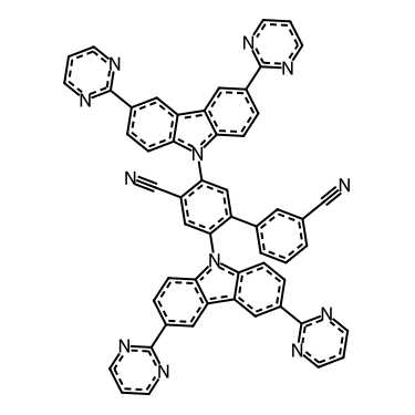 N#Cc1cccc(-c2cc(-n3c4ccc(-c5ncccn5)cc4c4cc(-c5ncccn5)ccc43)c(C#N)cc2-n2c3ccc(-c4ncccn4)cc3c3cc(-c4ncccn4)ccc32)c1